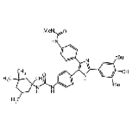 CNC(=O)Nc1ccc(-c2nc(-c3cc(C(C)(C)C)c(O)c(C(C)(C)C)c3)[nH]c2-c2ccc(NC(=O)NC3(C)CC(C)CC(C)(C)C3)cc2)cc1